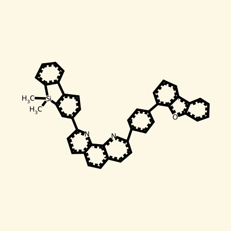 C[Si]1(C)c2ccccc2-c2ccc(-c3ccc4ccc5ccc(-c6ccc(-c7cccc8c7oc7ccccc78)cc6)nc5c4n3)cc21